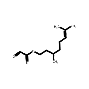 CC(C)=CCCC(C)CCOC(=O)C=O